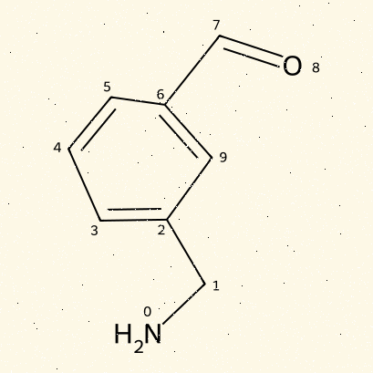 NCc1cccc(C=O)c1